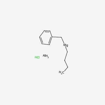 CCC[CH2][Mg][CH2]c1ccccc1.Cl.[AlH3]